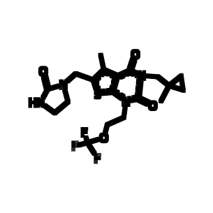 Cc1c(CN2CCNC2=O)sc2c1c(=O)n(CC1(C)CC1)c(=O)n2CCOC(F)(F)F